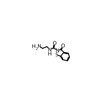 NCCNC(=O)n1sc2ccccc2c1=O